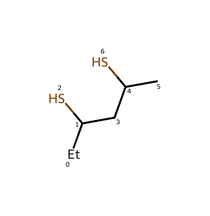 CCC(S)CC(C)S